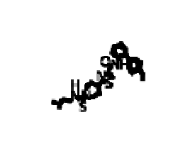 CCc1ccc(-c2ccccc2NC(=O)c2csc(C3CCN(C(=S)NCCC(C)C)CC3)n2)cc1